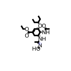 CCOC(=O)C1=C[C@@H](OC(CC)CC)[C@H](NC(C)=O)[C@@H](N/C(C)=N/O)C1